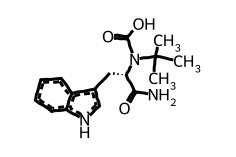 CC(C)(C)N(C(=O)O)[C@@H](Cc1c[nH]c2ccccc12)C(N)=O